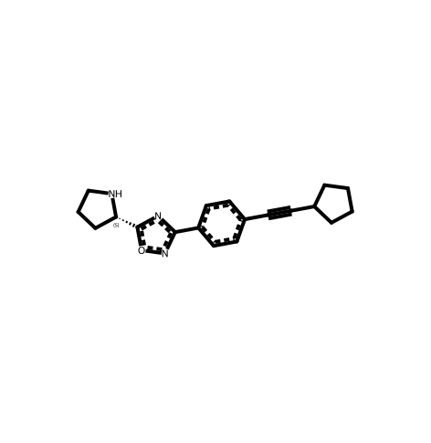 C(#CC1CCCC1)c1ccc(-c2noc([C@@H]3CCCN3)n2)cc1